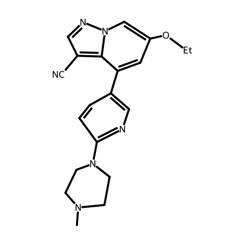 CCOc1cc(-c2ccc(N3CCN(C)CC3)nc2)c2c(C#N)cnn2c1